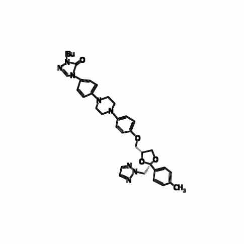 CCC(C)n1ncn(-c2ccc(N3CCN(c4ccc(OC[C@@H]5CO[C@@](Cn6nccn6)(c6ccc(C)cc6)O5)cc4)CC3)cc2)c1=O